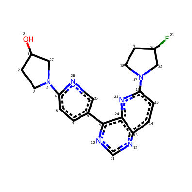 OC1CCN(c2ccc(-c3ncnc4ccc(N5CCC(F)C5)nc34)cn2)C1